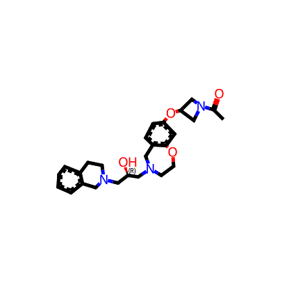 CC(=O)N1CC(Oc2ccc3c(c2)OCCN(C[C@H](O)CN2CCc4ccccc4C2)C3)C1